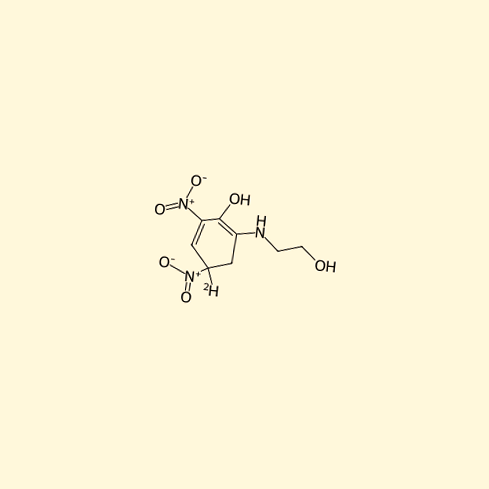 [2H]C1([N+](=O)[O-])C=C([N+](=O)[O-])C(O)=C(NCCO)C1